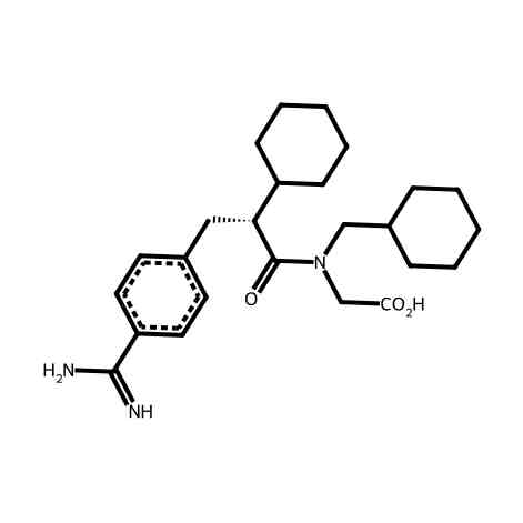 N=C(N)c1ccc(C[C@@H](C(=O)N(CC(=O)O)CC2CCCCC2)C2CCCCC2)cc1